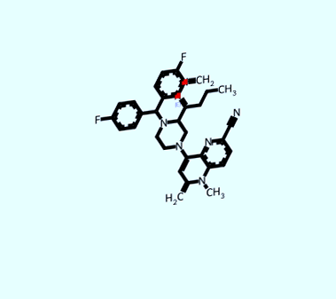 C=N/N=C(\CCC)C1CN(C2=CC(=C)N(C)c3ccc(C#N)nc32)CCN1C(c1ccc(F)cc1)c1ccc(F)cc1